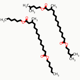 CC(C)CCCOC(=O)CCCCCCCCCCCC(C)CC(=O)OCCCC(C)C.CCCCCCOC(=O)CCCCCCCCCCCC(C)CC(=O)OCCCCCC